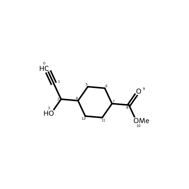 C#CC(O)C1CCC(C(=O)OC)CC1